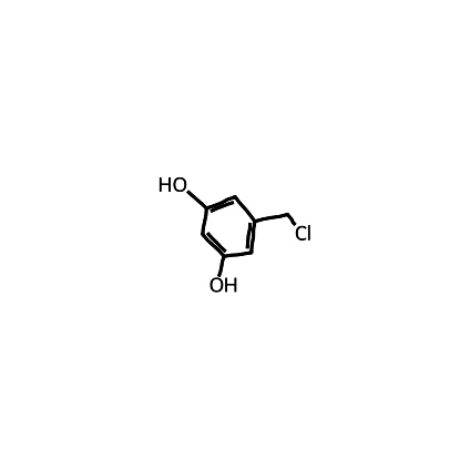 Oc1cc(O)cc(CCl)c1